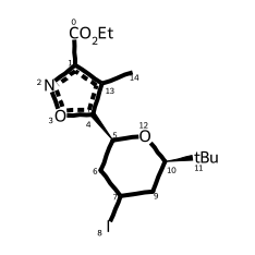 CCOC(=O)c1noc([C@@H]2CC(I)C[C@H](C(C)(C)C)O2)c1C